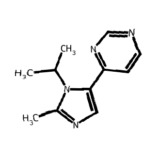 Cc1ncc(-c2ccncn2)n1C(C)C